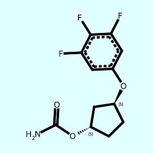 NC(=O)O[C@H]1CC[C@H](Oc2cc(F)c(F)c(F)c2)C1